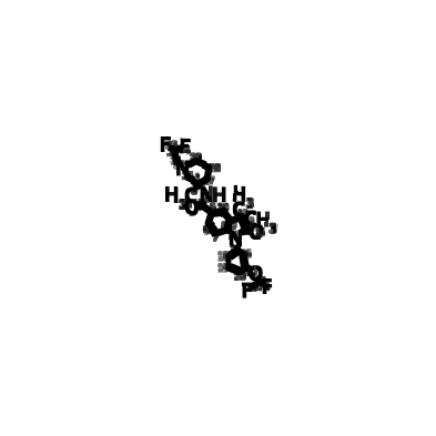 CC1(NC(=O)c2ccc3c(c2)C(C)(C)C(=O)N3c2cccc(OC(F)F)c2)CCCN(CC(F)F)C1